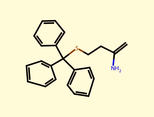 C=C(N)CCSC(c1ccccc1)(c1ccccc1)c1ccccc1